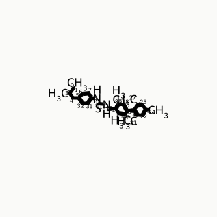 CCC(C)Cc1ccc(NC(=S)NCc2cc(C)c(-c3c(C)cc(C)cc3C)cc2C)cc1